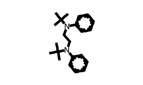 CC(C)(C)N(CCN(c1ccccc1)C(C)(C)C)c1ccccc1